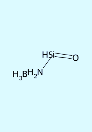 B.N[SiH]=O